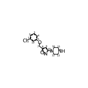 Clc1cccc(OCc2cc(N3CCNCC3)no2)c1